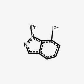 CC(C)c1cccc2cnn(C(C)C)c12